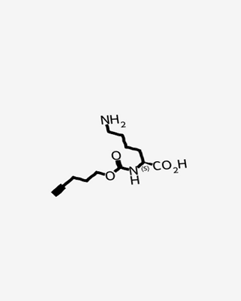 C#CCCCOC(=O)N[C@@H](CCCCN)C(=O)O